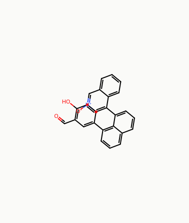 O=Cc1cc(-c2cccc3cccc(-c4c[n+]([O-])cc5ccccc45)c23)ccc1O